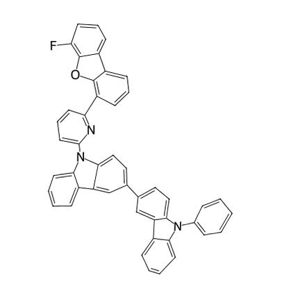 Fc1cccc2c1oc1c(-c3cccc(-n4c5ccccc5c5cc(-c6ccc7c(c6)c6ccccc6n7-c6ccccc6)ccc54)n3)cccc12